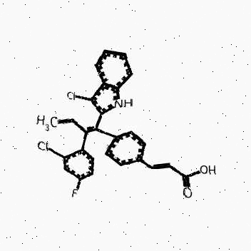 CC/C(=C(/c1ccc(/C=C/C(=O)O)cc1)c1[nH]c2ccccc2c1Cl)c1ccc(F)cc1Cl